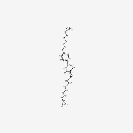 CCCCCCCCc1ccc(-c2ccc(OCCCCCCCC3CC3)cc2)nc1